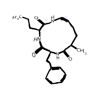 CCCC1NC(=O)C(Cc2ccccc2)NC(=O)C(C)CC/C=C\NC1=O